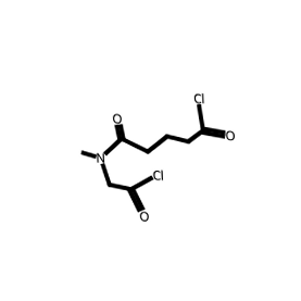 CN(CC(=O)Cl)C(=O)CCCC(=O)Cl